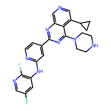 Fc1cnc(F)c(Nc2cc(-c3nc(N4CCNCC4)c4c(C5CC5)cncc4n3)ccn2)c1